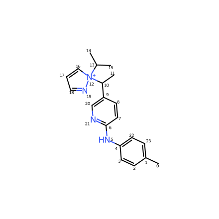 Cc1ccc(Nc2ccc(C(C)[N+]3(C(C)C)C=CC=N3)cn2)cc1